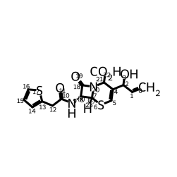 C=CC(O)C1=CS[C@@H]2[C@H](NC(=O)Cc3cccs3)C(=O)N2C1C(=O)O